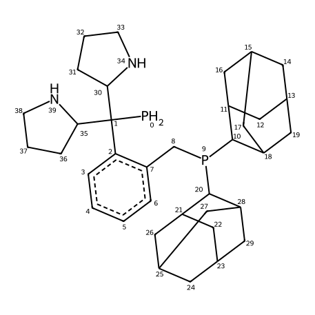 PC(c1ccccc1CP(C1C2CC3CC(C2)CC1C3)C1C2CC3CC(C2)CC1C3)(C1CCCN1)C1CCCN1